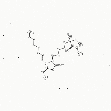 CCCCCCC=C[C@H]1[C@H](CO)CC(=O)[C@@H]1CCCCCC(O)(CC)C(=O)OC